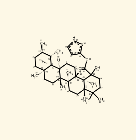 C[C@@H]1[C@H]2[C@H]3CC[C@@H]4[C@]5(C)[C@@H](CC[C@@]4(C)[C@]3(C)CC[C@@]2(C)CC[C@H]1C)C(C)(C)CCC5(O)C(=O)Oc1cc[nH]n1